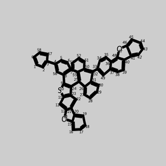 c1ccc(-c2cccc(-c3sc4cc5oc6ccccc6c5cc4c3-c3c4ccccc4c(-c4ccc5c(ccc6c7ccccc7oc56)c4)c4ccccc34)c2)cc1